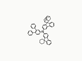 c1ccc(-c2ccc(N(c3ccc4c(c3)-c3ccccc3C43C4CCC5CC(C4)CC3C5)c3ccc4c(c3)C3(CCCCC3)c3ccccc3-4)cc2-c2ccccc2)cc1